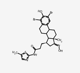 Cc1cnc(NC(=O)CC[C@@H]2C/C(=N\O)[C@@]3(C)CCC4c5cc(Br)c(O)c(Br)c5CCC4C23)s1